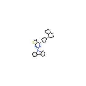 c1ccc2c(-c3ccc(-c4nc(-n5c6ccccc6c6ccccc65)nc5sccc45)cc3)cccc2c1